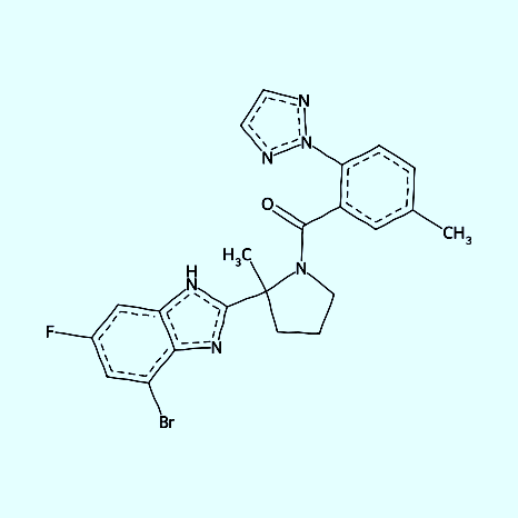 Cc1ccc(-n2nccn2)c(C(=O)N2CCCC2(C)c2nc3c(Br)cc(F)cc3[nH]2)c1